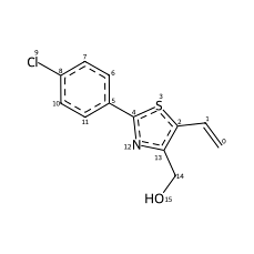 C=Cc1sc(-c2ccc(Cl)cc2)nc1CO